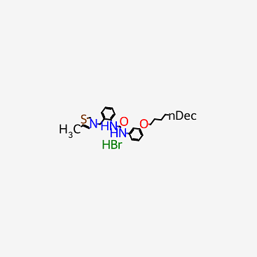 Br.CCCCCCCCCCCCCCOc1cccc(NC(=O)Nc2ccccc2CN2C=C(C)SC2)c1